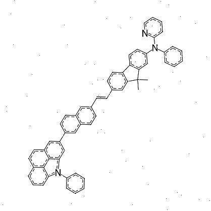 CC1(C)c2cc(/C=C/c3ccc4cc(-c5cc6ccc7cccc8c7c6c(c5)n8-c5ccccc5)ccc4c3)ccc2-c2ccc(N(c3ccccc3)c3ccccn3)cc21